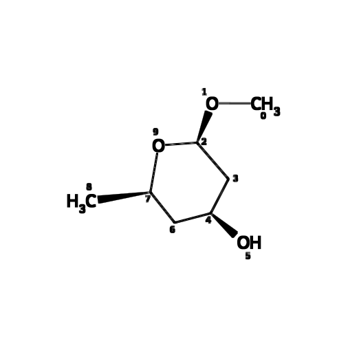 CO[C@H]1C[C@@H](O)C[C@@H](C)O1